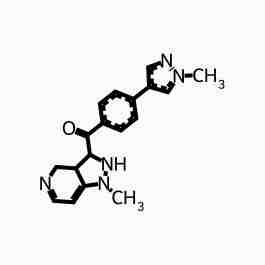 CN1NC(C(=O)c2ccc(-c3cnn(C)c3)cc2)C2CN=CC=C21